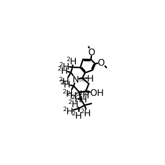 [2H]C([2H])([2H])C([2H])(C)C([2H])([2H])[C@@]1([2H])C([2H])([2H])N2[C@@H](C[C@@]1([2H])O)c1cc(OC)c(OC)cc1C([2H])([2H])C2([2H])[2H]